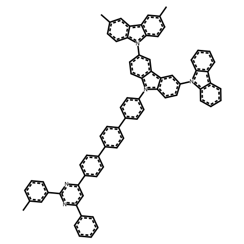 Cc1cccc(-c2nc(-c3ccccc3)cc(-c3ccc(-c4ccc(-c5ccc(-n6c7ccc(-n8c9ccccc9c9ccccc98)cc7c7cc(-n8c9ccc(C)cc9c9cc(C)ccc98)ccc76)cc5)cc4)cc3)n2)c1